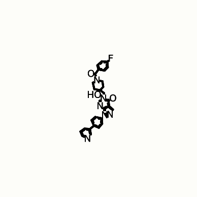 O=C(c1ccc(F)cc1)N1CCC(O)(Cn2cnc3c(cnn3-c3ccc(-c4cccnc4)cc3)c2=O)CC1